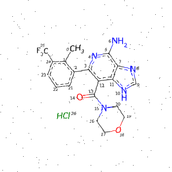 Cc1c(-c2nc(N)c3nc[nH]c3c2C(=O)N2CCOCC2)cccc1C(F)(F)F.Cl